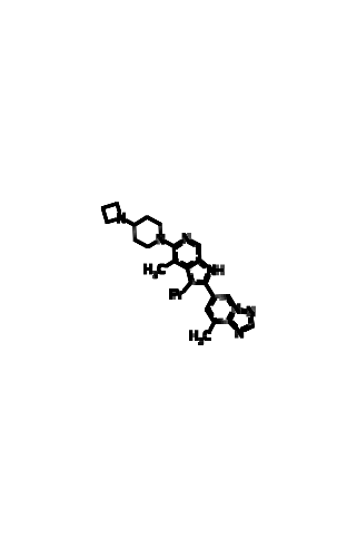 Cc1c(N2CCC(N3CCC3)CC2)ncc2[nH]c(-c3cc(C)c4ncnn4c3)c(C(C)C)c12